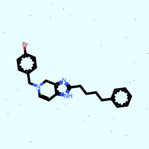 Brc1ccc(CN2C=Cc3[nH]c(CCCCc4ccccc4)nc3C2)cc1